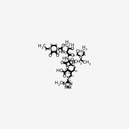 CCN(CC)CC.CCN1CCN(C(=O)N[C@@H](C(=O)N[C@]2(OC)C(=O)N3C(C(=O)O)=C(CSc4nnnn4C)CS[C@@H]32)[C@H](C)O)C(=O)C1=O